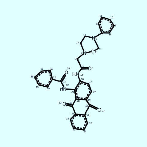 O=C(CN1CCN(c2ccccc2)CC1)Nc1ccc2c(c1NC(=O)c1ccccc1)C(=O)c1ccccc1C2=O